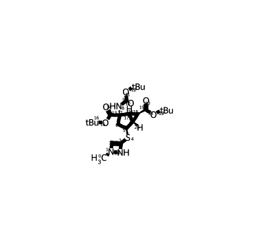 Cn1cc(S[C@H]2C[C@@](NC(=O)OC(C)(C)C)(C(=O)OC(C)(C)C)[C@@H]3[C@@H](C(=O)OC(C)(C)C)[C@@H]32)[nH]1